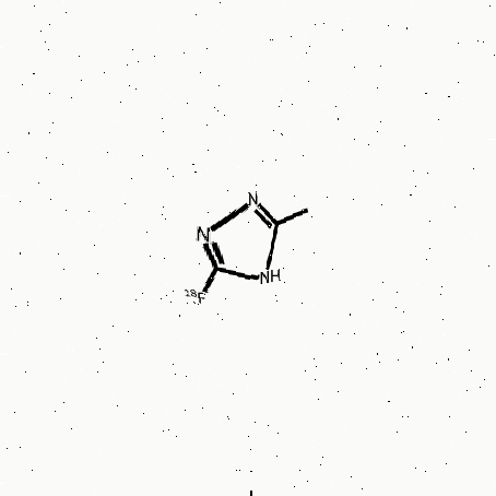 Cc1nnc([18F])[nH]1